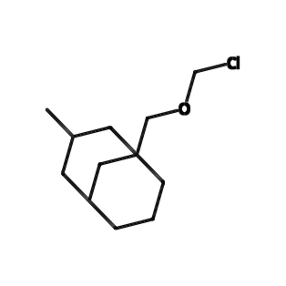 CC1CC2CCCC(COCCl)(C1)C2